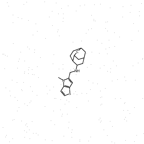 Cn1c(CNC2CC3CC4CCC2C(C4)C3)cc2sccc21